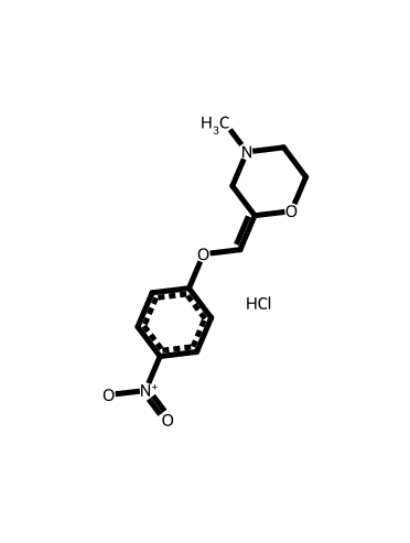 CN1CCOC(=COc2ccc([N+](=O)[O-])cc2)C1.Cl